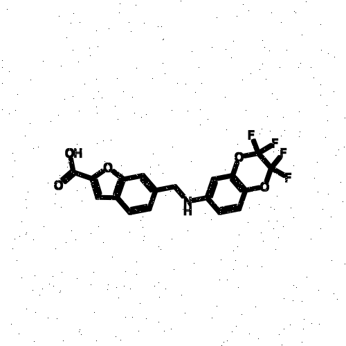 O=C(O)c1cc2ccc(CNc3ccc4c(c3)OC(F)(F)C(F)(F)O4)cc2o1